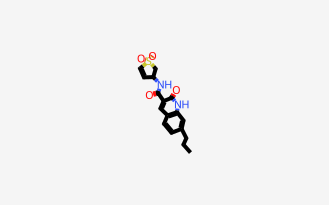 CCCc1ccc2cc(C(=O)NC3C=CS(=O)(=O)C3)c(=O)[nH]c2c1